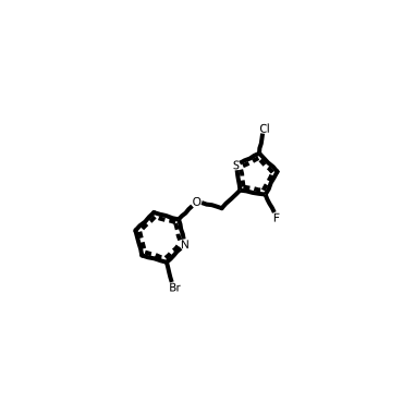 Fc1cc(Cl)sc1COc1cccc(Br)n1